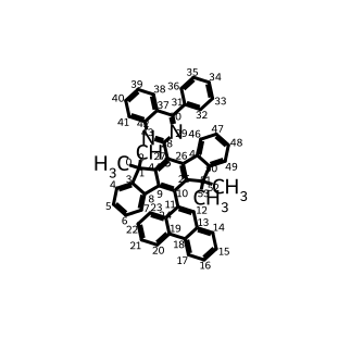 CC1(C)c2ccccc2-c2c(-c3cc4ccccc4c4ccccc34)c3c(c(-c4nc(-c5ccccc5)c5ccccc5n4)c21)-c1ccccc1C3(C)C